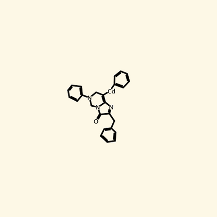 O=C1C(Cc2ccccc2)=NC2=[C]([Cd][c]3ccccc3)CN(c3ccccc3)CN12